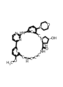 COc1ccc2cc1CNCCCNC(=O)[C@@H]1C[C@@H](O)CN1Cc1cc(ccc1N1CCOCC1)Nc1nccc-2n1